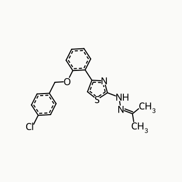 CC(C)=NNc1nc(-c2ccccc2OCc2ccc(Cl)cc2)cs1